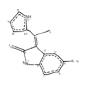 C/C(=C1/C(=O)Nc2ccc(I)cc21)c1ccc[nH]1